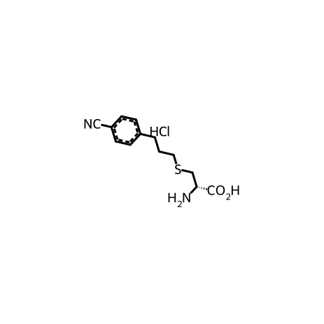 Cl.N#Cc1ccc(CCCSC[C@@H](N)C(=O)O)cc1